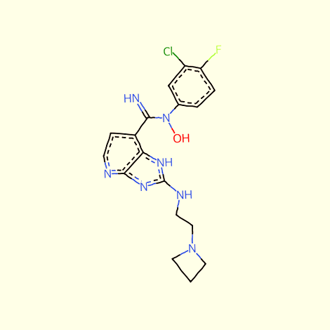 N=C(c1ccnc2nc(NCCN3CCC3)[nH]c12)N(O)c1ccc(F)c(Cl)c1